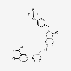 O=C(O)c1cc(-c2cccc(COc3ccc4c(c3)CN(Cc3ccc(OC(F)(F)F)cc3)C4=O)c2)ccc1Cl